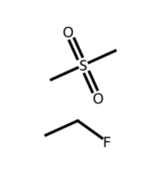 CCF.CS(C)(=O)=O